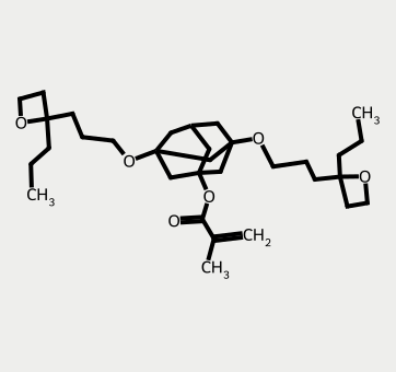 C=C(C)C(=O)OC12CC3CC(OCCCC4(CCC)CCO4)(CC(OCCCC4(CCC)CCO4)(C3)C1)C2